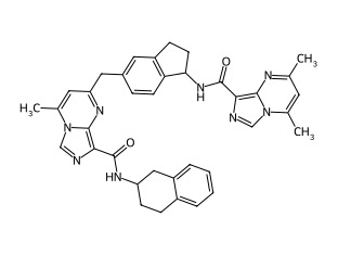 Cc1cc(C)n2cnc(C(=O)NC3CCc4cc(Cc5cc(C)n6cnc(C(=O)NC7CCc8ccccc8C7)c6n5)ccc43)c2n1